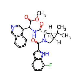 COC(=O)C(NC(=O)[C@@H]1[C@@H]2[C@H](CN1C(=O)c1cc3cccc(F)c3[nH]1)C2(C)C)c1cncc2ccccc12